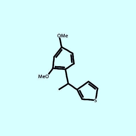 COc1ccc(C(C)c2ccsc2)c(OC)c1